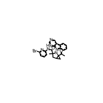 CC(=O)C12CC1CC(C)(C(=O)Nc1cccc(Br)n1)N2n1c2ccccc2c2cncnc21